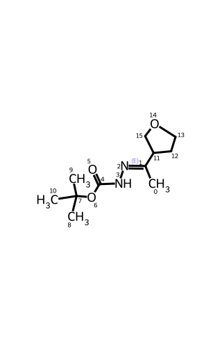 C/C(=N\NC(=O)OC(C)(C)C)C1CCOC1